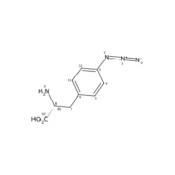 [N-]=[N+]=Nc1ccc(C[C@@H](N)C(=O)O)cc1